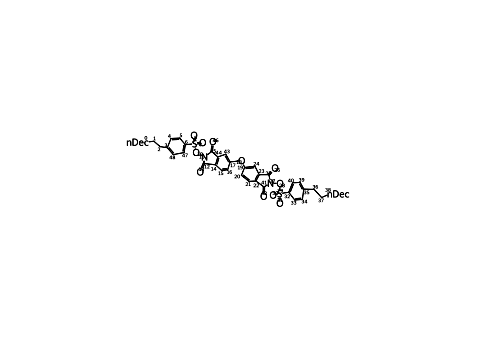 CCCCCCCCCCCCc1ccc(S(=O)(=O)ON2C(=O)c3ccc(Oc4ccc5c(c4)C(=O)N(OS(=O)(=O)c4ccc(CCCCCCCCCCCC)cc4)C5=O)cc3C2=O)cc1